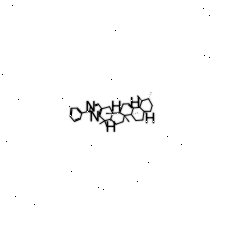 C[C@@H]1[C@H]2C3=CC[C@@H]4[C@@]5(C)Cc6cnc(-c7ccccc7)nc6C(C)(C)[C@@H]5CC[C@@]4(C)[C@]3(C)CC[C@@H]2CC[C@H]1C